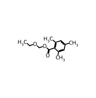 CCOCOC(=O)c1c(C)cc(C)cc1C